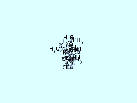 COc1ccc(CC(=O)N(C)C)cc1-c1nc2c(n1C(C)C)C1(C(=O)Nc3cc(Cl)ccc31)N(c1cc(Cl)ccc1C)C2=O